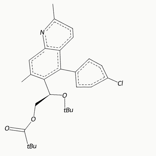 Cc1ccc2c(-c3ccc(Cl)cc3)c([C@H](COC(=O)C(C)(C)C)OC(C)(C)C)c(C)cc2n1